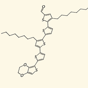 CCCCCCCCc1cc(C=O)sc1-c1ccc(-c2sc(-c3ccc(-c4scc5c4OCCO5)s3)cc2CCCCCCCC)s1